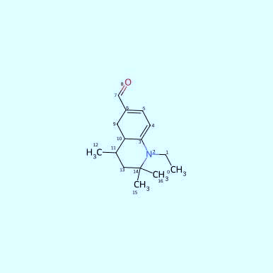 CCN1C2=CC=C(C=O)CC2C(C)CC1(C)C